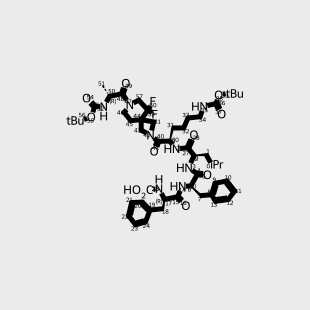 CC(C)C[C@@H](NC(=O)[C@@H](Cc1ccccc1)NC(=O)[C@@H](Cc1ccccc1)NC(=O)O)C(=O)N[C@H](CCCCNC(=O)OC(C)(C)C)C(=O)N1CC2(CCN(C(=O)[C@@H](C)NC(=O)OC(C)(C)C)CC2(F)F)C1